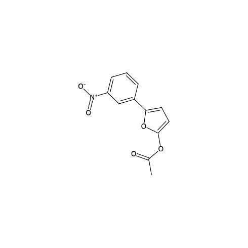 CC(=O)Oc1ccc(-c2cccc([N+](=O)[O-])c2)o1